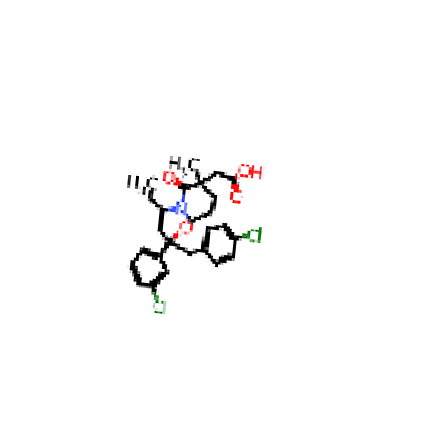 CCC(CC(O)(Cc1ccc(Cl)cc1)c1cccc(Cl)c1)N1CCCC(C)(CC(=O)O)C1=O